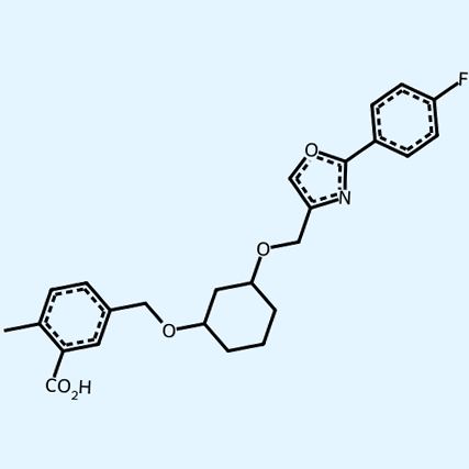 Cc1ccc(COC2CCCC(OCc3coc(-c4ccc(F)cc4)n3)C2)cc1C(=O)O